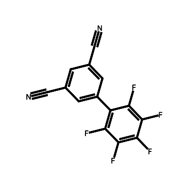 N#Cc1cc(C#N)cc(-c2c(F)c(F)c(F)c(F)c2F)c1